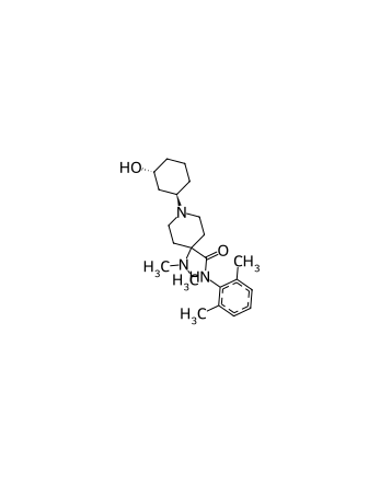 Cc1cccc(C)c1NC(=O)C1(N(C)C)CCN([C@@H]2CCC[C@@H](O)C2)CC1